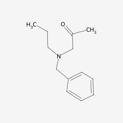 CCCN(CC(C)=O)Cc1ccccc1